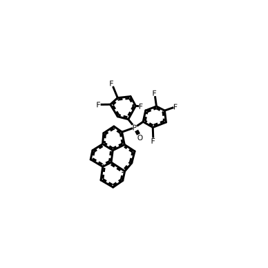 O=P(c1cc(F)c(F)cc1F)(c1cc(F)c(F)cc1F)c1ccc2ccc3cccc4ccc1c2c34